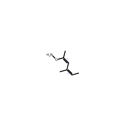 C/C=C(C)\C=C(\C)ON